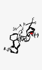 O=S(=O)(c1cccc(C(F)(F)F)c1)C12C=CC=CC1=c1[nH]ccc1=CN2N1CCNCC1.[SnH2]